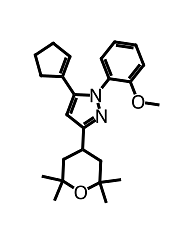 COc1ccccc1-n1nc(C2CC(C)(C)OC(C)(C)C2)cc1C1=CCCC1